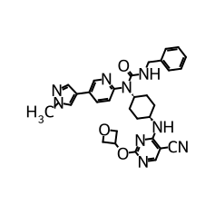 Cn1cc(-c2ccc(N(C(=O)NCc3ccccc3)[C@H]3CC[C@H](Nc4nc(OC5COC5)ncc4C#N)CC3)nc2)cn1